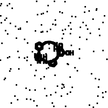 O=C1NCCCc2cccc(c2)-c2ncnc(n2)Nc2cccc(c2)CN2C[C@@H](O)C[C@H]12